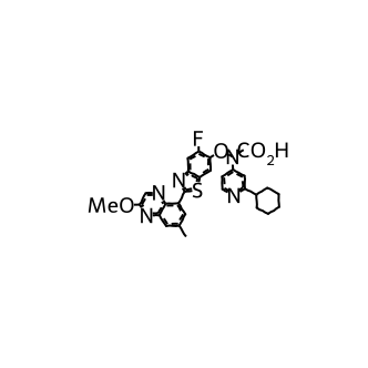 COc1cnc2c(-c3nc4cc(F)c(ON(C(=O)O)c5ccnc(C6CCCCC6)c5)cc4s3)cc(C)cc2n1